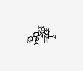 COc1ncc2c(C#N)c[nH]c2c1-c1nc2c(OCC(C)C)c(C3CCN(C)CC3)ccc2[nH]1